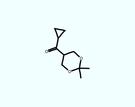 CC1(C)OCC(C(=O)C2CC2)CO1